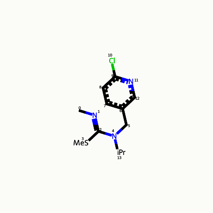 CN=C(SC)N(Cc1ccc(Cl)nc1)C(C)C